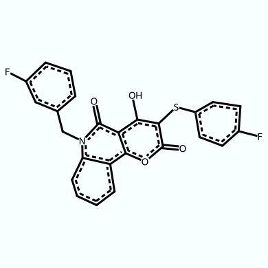 O=c1oc2c(c(O)c1Sc1ccc(F)cc1)c(=O)n(Cc1cccc(F)c1)c1ccccc21